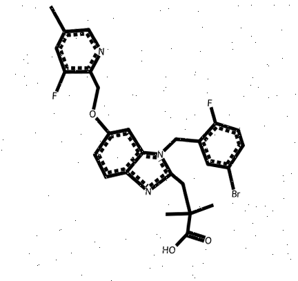 Cc1cnc(COc2ccc3nc(CC(C)(C)C(=O)O)n(Cc4cc(Br)ccc4F)c3c2)c(F)c1